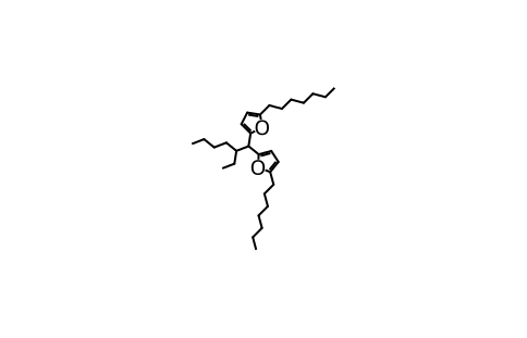 CCCCCCCc1ccc(C(c2ccc(CCCCCCC)o2)C(CC)CCCC)o1